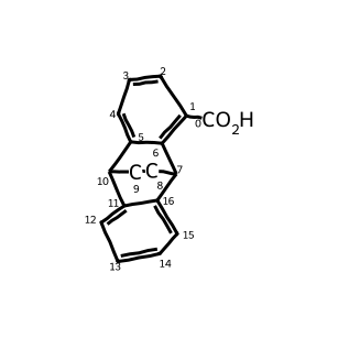 O=C(O)c1cccc2c1C1CCC2c2ccccc21